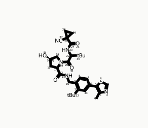 Cc1ncsc1-c1ccc(CNC(=O)C2C[C@@H](O)CN2C(=O)C(NC(=O)C2(C#N)CC2)C(C)(C)C)c(C(C)(C)C)c1